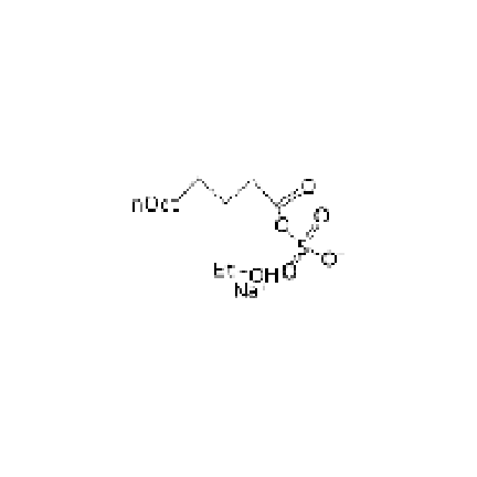 CCCCCCCCCCCC(=O)OS(=O)(=O)[O-].CCO.[Na+]